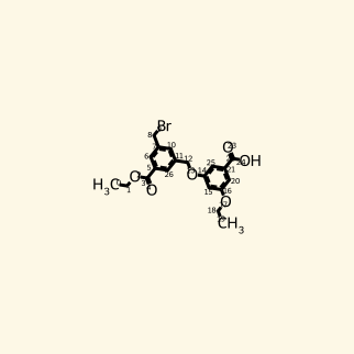 CCOC(=O)c1cc(CBr)cc(COc2cc(OCC)cc(C(=O)O)c2)c1